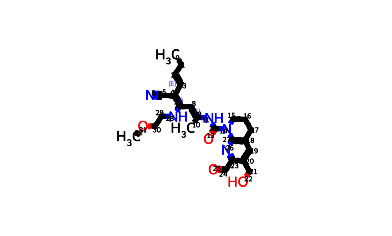 CC/C=C/C(C#N)=C(\C=C(/C)NC(=O)N1CCCc2cc(CO)c(C=O)nc21)NCCOC